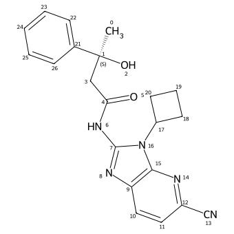 C[C@](O)(CC(=O)Nc1nc2ccc(C#N)nc2n1C1CCC1)c1ccccc1